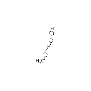 C=C[C@H]1CC[C@H](CC/C=C/C2CCC([C@H]3CC[C@H](CC)CC3)CC2)CC1